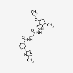 CCCOc1ccc(C)c2nc(NC(=O)CCNC(=O)c3cccc(-c4noc(C)n4)c3)sc12